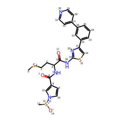 CSCCC(NC(=O)c1ccn([S+](C)[O-])c1)C(=O)Nc1nc(-c2cccc(-c3ccncc3)c2)cs1